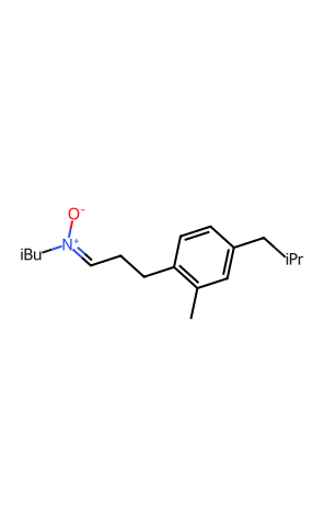 CCC(C)[N+]([O-])=CCCc1ccc(CC(C)C)cc1C